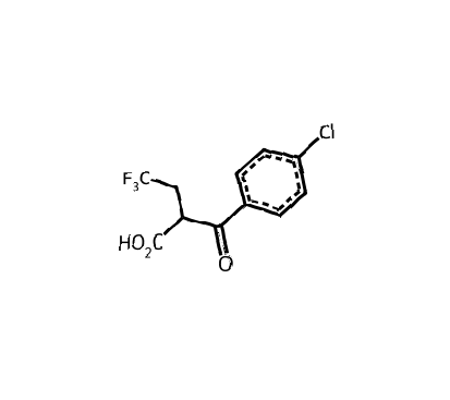 O=C(O)C(CC(F)(F)F)C(=O)c1ccc(Cl)cc1